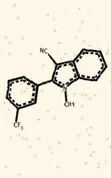 N#Cc1c(-c2cccc(C(F)(F)F)c2)n(O)c2ccccc12